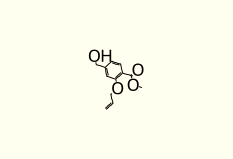 C=CCOc1cc(CO)ccc1C(=O)OC